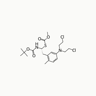 COC(=O)S[C@H](Cc1cc(N(CCCl)CCCl)ccc1C)NC(=O)OC(C)(C)C